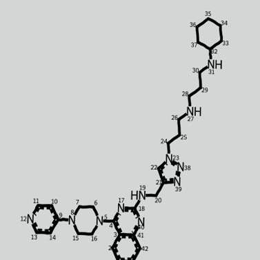 c1ccc2c(N3CCN(c4ccncc4)CC3)nc(NCc3cn(CCCNCCCNC4CCCCC4)nn3)nc2c1